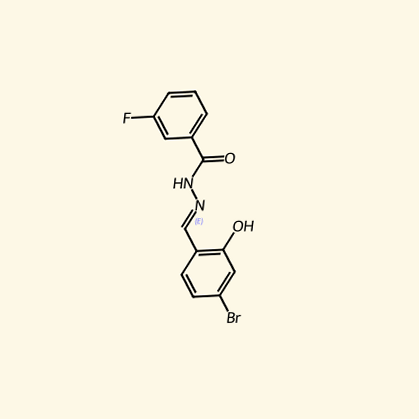 O=C(N/N=C/c1ccc(Br)cc1O)c1cccc(F)c1